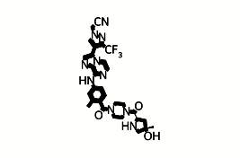 Cc1cc(Nc2nccn3c(-c4cn(CC#N)nc4C(F)(F)F)cnc23)ccc1C(=O)N1CCN(C(=O)[C@@H]2C[C@](C)(O)CN2)CC1